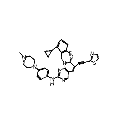 CN1CCN(c2ccc(Nc3ncc4cc(C#Cc5nccs5)c(=O)n(Cc5c(F)cccc5C5CC5)c4n3)cc2)CC1